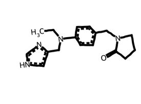 CCN(Cc1c[nH]cn1)c1ccc(CN2CCCC2=O)cc1